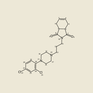 O=C1C2CC=CCC2C(=O)N1CCCN1CCN(c2ccc(Cl)cc2Cl)CC1